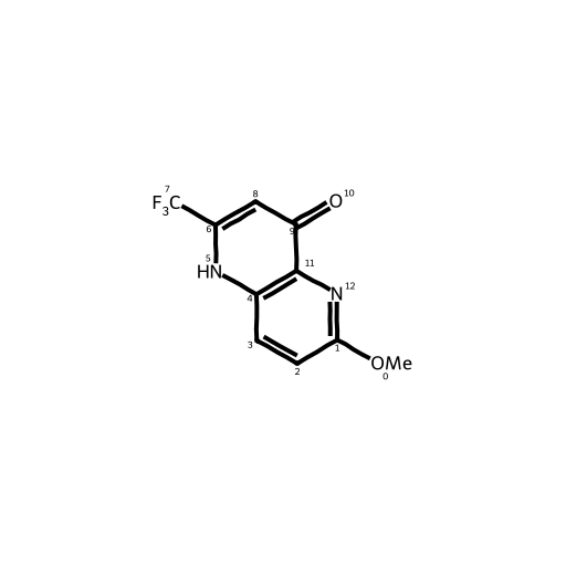 COc1ccc2[nH]c(C(F)(F)F)cc(=O)c2n1